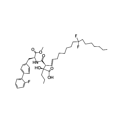 CCCCCCCC(F)(F)CCCCCC/C=C/[C@H](C(=O)N[C@@H](Cc1ccc(-c2ccccc2F)cc1)C(=O)OC)[C@@](O)(CCC)C(=O)O